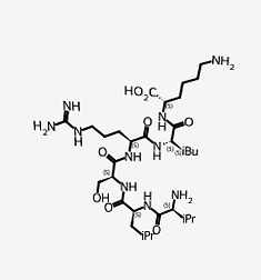 CC[C@H](C)[C@H](NC(=O)[C@H](CCCNC(=N)N)NC(=O)[C@H](CO)NC(=O)[C@H](CC(C)C)NC(=O)[C@@H](N)C(C)C)C(=O)N[C@@H](CCCCN)C(=O)O